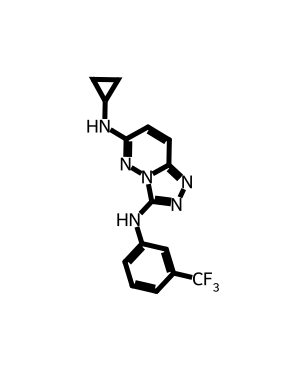 FC(F)(F)c1cccc(Nc2nnc3ccc(NC4CC4)nn23)c1